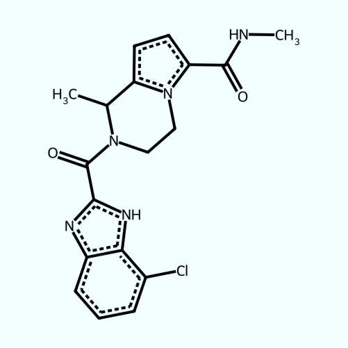 CNC(=O)c1ccc2n1CCN(C(=O)c1nc3cccc(Cl)c3[nH]1)C2C